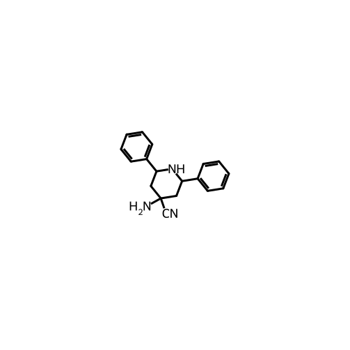 N#CC1(N)CC(c2ccccc2)NC(c2ccccc2)C1